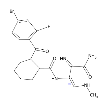 CN/C=C(/NC(=O)C1CCCCC1C(=O)c1ccc(Br)cc1F)C(=N)C(N)=O